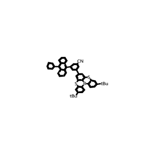 CC(C)(C)c1ccc2c(c1)Sc1cc(-c3cc(C#N)cc(-c4c5ccccc5c(-c5ccccc5)c5ccccc45)c3)cc3c1B2c1ccc(C(C)(C)C)cc1S3